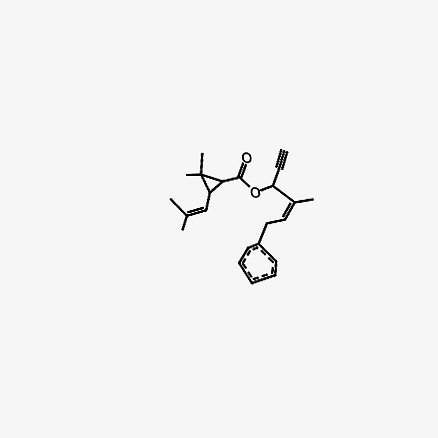 C#CC(OC(=O)C1C(C=C(C)C)C1(C)C)C(C)=CCc1ccccc1